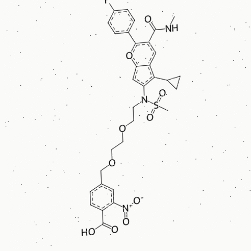 CNC(=O)c1cc2c(C3CC3)c(N(CCOCCOCc3ccc(C(=O)O)c([N+](=O)[O-])c3)S(C)(=O)=O)cc-2oc1-c1ccc(F)cc1